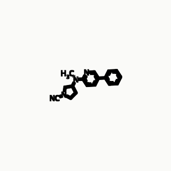 CN(c1ccc(-c2ccccc2)cn1)C1CCN(C#N)C1